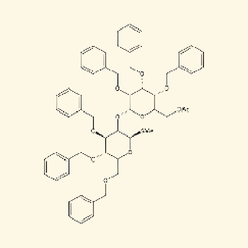 CS[C@H]1OC(COCc2ccccc2)[C@H](OCc2ccccc2)[C@@H](OCc2ccccc2)C1O[C@H]1OC(COC(C)=O)[C@@H](OCc2ccccc2)[C@@H](OCc2ccccc2)C1OCc1ccccc1